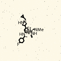 C=CN[C@H](CNC)NNC(CC(CC)C1CNN(CC2CC2)C1)N[C@@H](C)C1CCC(F)CC1